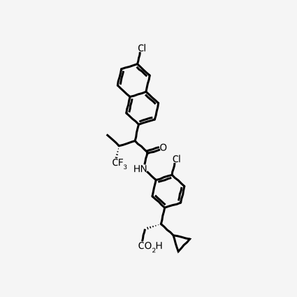 C[C@H](C(C(=O)Nc1cc([C@@H](CC(=O)O)C2CC2)ccc1Cl)c1ccc2cc(Cl)ccc2c1)C(F)(F)F